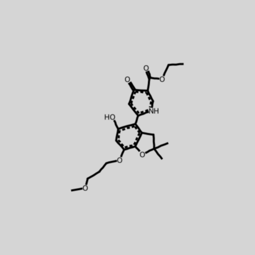 CCOC(=O)c1c[nH]c(-c2c(O)cc(OCCCOC)c3c2CC(C)(C)O3)cc1=O